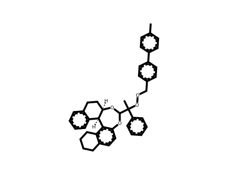 Cc1ccc(-c2ccc(COOC(C)(c3ccccc3)C3Oc4ccc5c(c4[C@H]4c6ccccc6CC[C@H]4O3)CCCC5)cc2)cc1